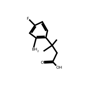 Bc1cc(F)ccc1C(C)(C)CC(=O)O